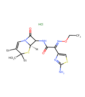 CCC1=CN2C(=O)C(NC(=O)C(=NOCC(F)(F)F)c3csc(N)n3)[C@H]2SC1(CC)C(=O)O.Cl